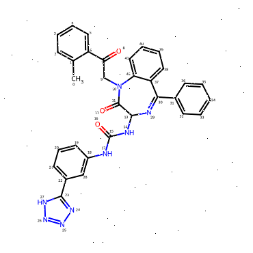 Cc1ccccc1C(=O)CN1C(=O)C(NC(=O)Nc2cccc(-c3nnn[nH]3)c2)N=C(c2ccccc2)c2ccccc21